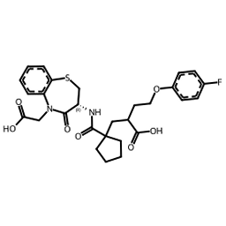 O=C(O)CN1C(=O)[C@@H](NC(=O)C2(CC(CCOc3ccc(F)cc3)C(=O)O)CCCC2)CSc2ccccc21